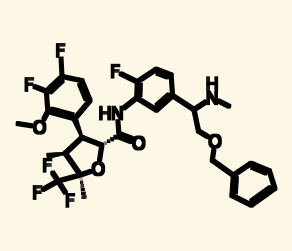 CNC(COCc1ccccc1)c1ccc(F)c(NC(=O)[C@@H]2O[C@@](C)(C(F)(F)F)[C@@H](C)[C@H]2c2ccc(F)c(F)c2OC)c1